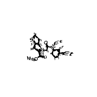 CCc1cccc(N(CC)C(=O)Cn2c(C(=O)OC)cc3sccc32)c1